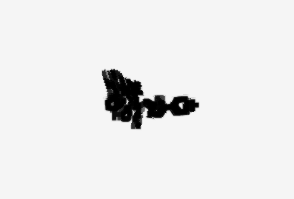 CN1CC=C(c2ccc(C[C@@H](C#N)NC(=O)[C@@H]3[C@H]4CC[C@H](C4)N3C(=O)OC(C)(C)C)s2)CC1